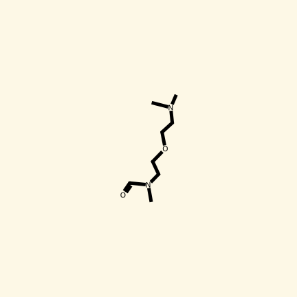 CN(C)CCOCCN(C)C=O